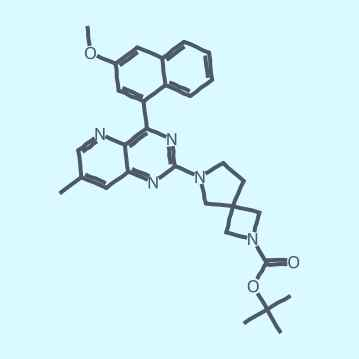 COc1cc(-c2nc(N3CCC4(CN(C(=O)OC(C)(C)C)C4)C3)nc3cc(C)cnc23)c2ccccc2c1